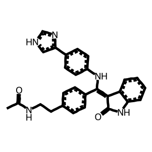 CC(=O)NCCc1ccc(C(Nc2ccc(-c3c[nH]cn3)cc2)=C2C(=O)Nc3ccccc32)cc1